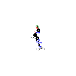 CCN(CC)CCCNc1ncc2cc(-c3cc(C(=O)Nc4cccc(OC(F)(F)F)c4)ccc3C)ccc2n1